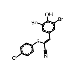 N#CC(=Cc1cc(Br)c(O)c(Br)c1)Sc1ccc(Cl)cc1